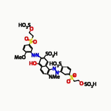 CNc1ccc2c(O)c(/N=N/c3cc(S(=O)(=O)CCOS(=O)(=O)O)ccc3OC)c(S(=O)(=O)O)cc2c1/N=N/c1cc(S(=O)(=O)CCOS(=O)(=O)O)ccc1S(=O)(=O)O